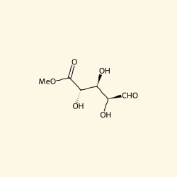 COC(=O)[C@@H](O)[C@@H](O)[C@H](O)C=O